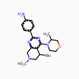 CC1COCCN1c1nc(-c2ccc(N)cc2)nc2c1C(C(C)(C)C)CN(C(=O)O)C2